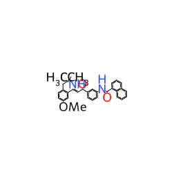 COc1ccc2c(c1)/C(=C/C(=O)c1cccc(NC(=O)c3cccc4ccccc34)c1)NC(C)(C)C2